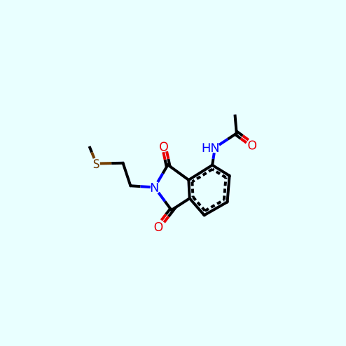 CSCCN1C(=O)c2cccc(NC(C)=O)c2C1=O